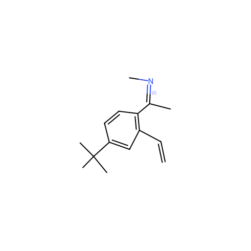 C=Cc1cc(C(C)(C)C)ccc1/C(C)=N\C